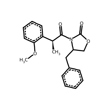 COc1ccccc1[C@H](C)C(=O)N1C(=O)OCC1Cc1ccccc1